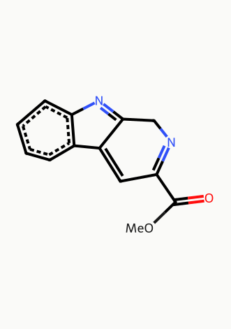 COC(=O)C1=NCC2=Nc3ccccc3C2=C1